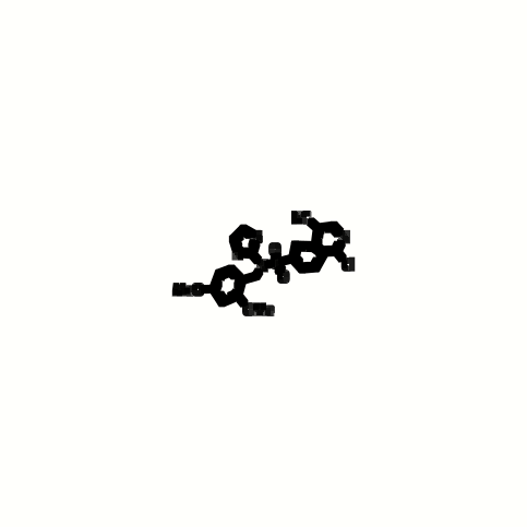 COc1ccc(CN(c2nccs2)S(=O)(=O)c2ccc3c(Cl)ncc(C#N)c3c2)c(OC)c1